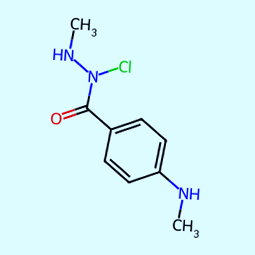 CNc1ccc(C(=O)N(Cl)NC)cc1